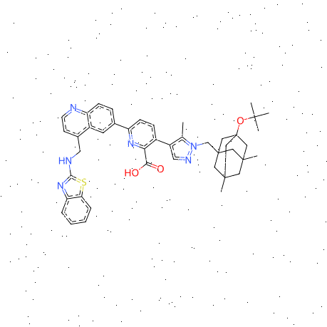 Cc1c(-c2ccc(-c3ccc4nccc(CNc5nc6ccccc6s5)c4c3)nc2C(=O)O)cnn1CC12CC3(C)CC(C)(C1)CC(OC(C)(C)C)(C3)C2